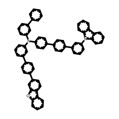 c1ccc(-c2cccc(N(c3ccc(-c4ccc(-c5cccc(-n6c7ccccc7c7ccccc76)c5)cc4)cc3)c3cccc(-c4ccc(-c5ccc6c(c5)oc5ccccc56)cc4)c3)c2)cc1